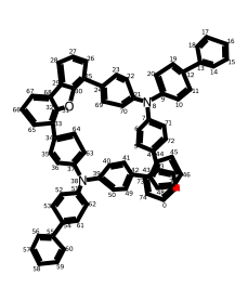 c1ccc(-c2ccc(N(c3ccc(-c4ccccc4)cc3)c3ccc(-c4cccc5c4oc4c(-c6ccc(N(c7ccc(-c8ccccc8)cc7)c7ccc(-c8ccccc8)cc7)cc6)cccc45)cc3)cc2)cc1